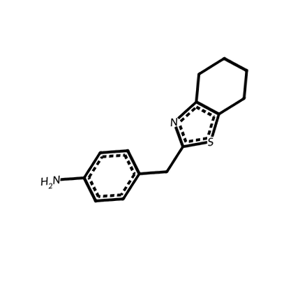 Nc1ccc(Cc2nc3c(s2)CCCC3)cc1